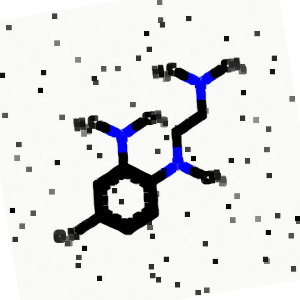 CN(C)CCN(C)c1ccc([N+](=O)[O-])cc1N(C)C